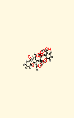 CC(=O)c1cc2c(=O)c3ccccc3oc2c(C(C)=O)c1-c1coc2ccc(C)c(C(=O)O)c2c1=O